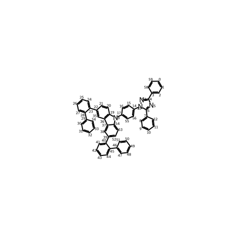 c1ccc(-c2nc(-c3ccccc3)n(-c3ccc(-n4c5ccc(-c6ccccc6-c6ccccc6)cc5c5cc(-c6ccccc6-c6ccccc6)ccc54)cc3)n2)cc1